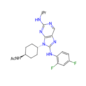 CC(=O)N[C@H]1CC[C@H](n2c(Nc3ccc(F)cc3F)nc3cnc(NC(C)C)nc32)CC1